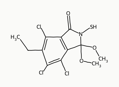 CCc1c(Cl)c(Cl)c2c(c1Cl)C(=O)N(S)C2(OC)OC